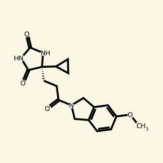 COc1ccc2c(c1)CN(C(=O)CC[C@@]1(C3CC3)NC(=O)NC1=O)C2